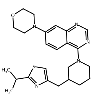 CC(C)c1nc(CC2CCCN(c3ncnc4cc(N5CCOCC5)ccc34)C2)cs1